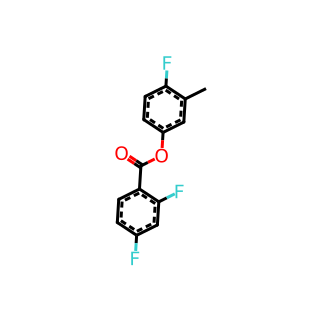 Cc1cc(OC(=O)c2ccc(F)cc2F)ccc1F